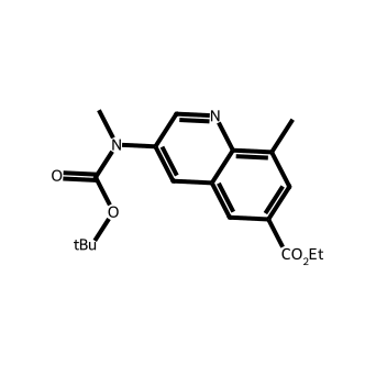 CCOC(=O)c1cc(C)c2ncc(N(C)C(=O)OC(C)(C)C)cc2c1